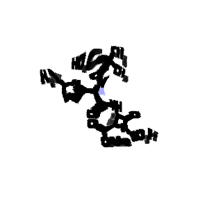 COC(=O)[C@H]1[C@@H](NC(=O)/C(=N/OC(C)(C)C(=O)O)c2csc(N)n2)C(=O)N1S(=O)(=O)O